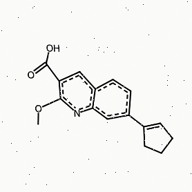 COc1nc2cc(C3=CCCC3)ccc2cc1C(=O)O